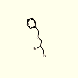 CC(C)C[C@@H](Br)COCc1ccccc1